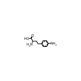 Nc1ccc(CCC(N)C(=O)O)cc1